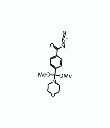 COC(OC)(c1ccc(C(=O)N=[N+]=[N-])cc1)N1CCOCC1